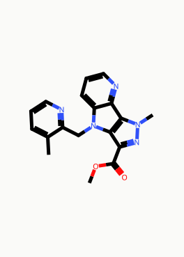 COC(=O)c1nn(C)c2c3ncccc3n(Cc3ncccc3C)c12